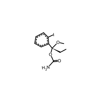 CC[C@@](OC)(OC(N)=O)c1ccccc1I